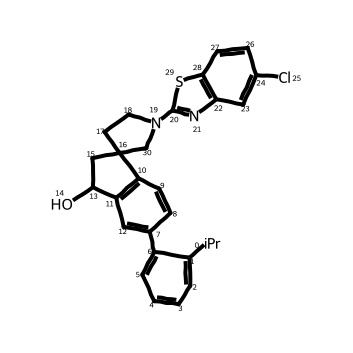 CC(C)c1ccccc1-c1ccc2c(c1)C(O)CC21CCN(c2nc3cc(Cl)ccc3s2)C1